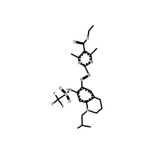 CCOC(=O)c1c(C)nc(N=Nc2cc3c(cc2NS(=O)(=O)C(F)(F)F)N(CC(C)C)CCC3)nc1C